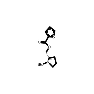 CC(C)(C)N1CCC[C@H]1COC(=O)c1cccs1